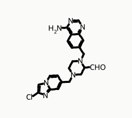 Nc1ncnc2cc(CN3CCN(Cc4ccn5cc(Cl)nc5c4)CC3C=O)ccc12